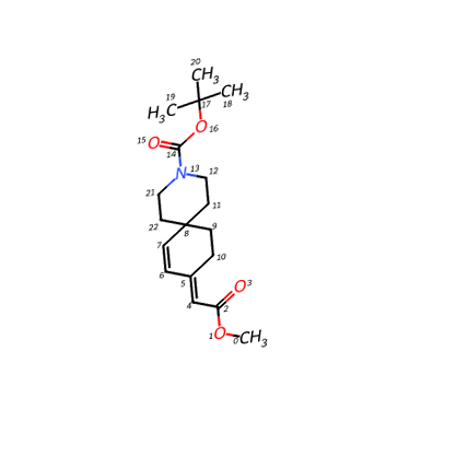 COC(=O)/C=C1/C=CC2(CC1)CCN(C(=O)OC(C)(C)C)CC2